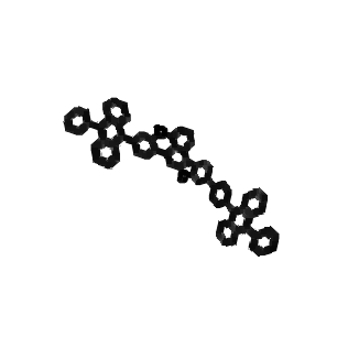 c1ccc(-c2c3ccccc3c(-c3ccc(-c4ccc5c(c4)oc4cc6c7c(cccc7c45)Oc4cc(-c5c7ccccc7c(-c7ccccc7)c7ccccc57)ccc4-6)cc3)c3ccccc23)cc1